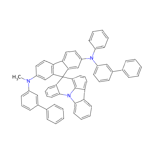 CN(c1cccc(-c2ccccc2)c1)c1ccc2c(c1)C1(c3cc(N(c4ccccc4)c4cccc(-c5ccccc5)c4)ccc3-2)c2ccccc2-n2c3ccccc3c3cccc1c32